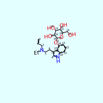 C=CCN(CC)CCc1c[nH]c2cccc(OC3OC(CO)C(O)C(O)C3O)c12